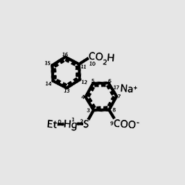 C[CH2][Hg][S]c1ccccc1C(=O)[O-].O=C(O)c1ccccc1.[Na+]